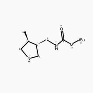 C[C@@H]1CNC[C@H]1CNC(=O)OC(C)(C)C